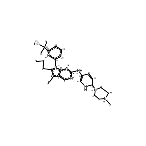 CCCc1c(F)c2cnc(NC3=CNC(N4CCN(C)CC4)C=C3)nc2n1-c1cccc(C(C)(C)O)n1